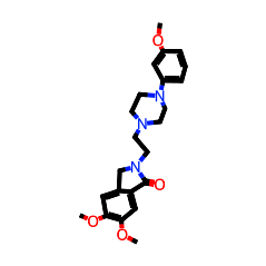 COc1cccc(N2CCN(CCN3Cc4cc(OC)c(OC)cc4C3=O)CC2)c1